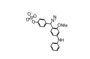 COc1cc(Nc2ccccc2)ccc1C([N+]#N)c1ccc(OS(=O)(=O)[O-])cc1